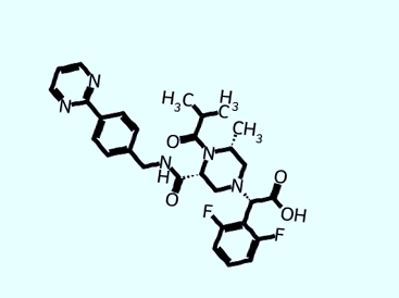 CC(C)C(=O)N1[C@H](C)CN([C@H](C(=O)O)c2c(F)cccc2F)C[C@@H]1C(=O)NCc1ccc(-c2ncccn2)cc1